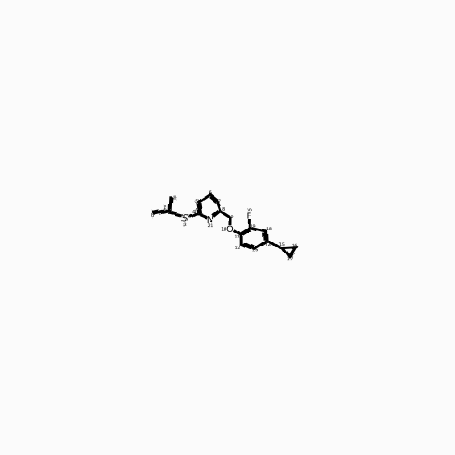 CC(C)Sc1cccc(COc2ccc(C3CC3)cc2F)n1